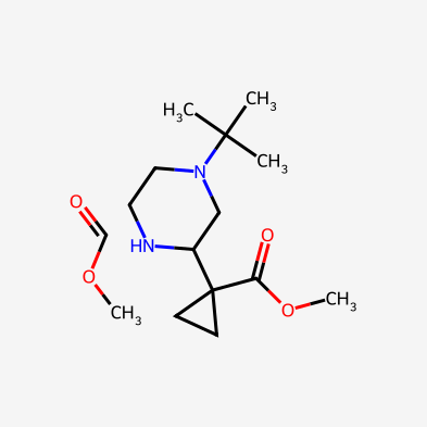 COC(=O)C1(C2CN(C(C)(C)C)CCN2)CC1.COC=O